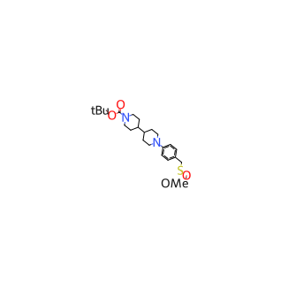 COOSCc1ccc(N2CCC(C3CCN(C(=O)OC(C)(C)C)CC3)CC2)cc1